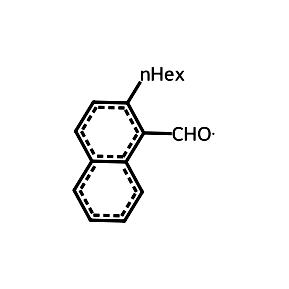 CCCCCCc1ccc2ccccc2c1[C]=O